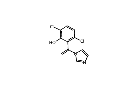 C=C(c1c(Cl)ccc(Cl)c1O)n1ccnc1